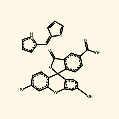 C1=CC(=Cc2ccc[nH]2)N=C1.O=C(O)c1ccc2c(c1)C(=O)OC21c2ccc(O)cc2Oc2cc(O)ccc21